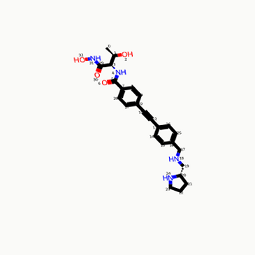 C[C@@H](O)[C@H](NC(=O)c1ccc(C#Cc2ccc(CNC[C@@H]3CCCN3)cc2)cc1)C(=O)NO